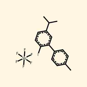 Cc1ccc(-c2cc(C(C)C)ccc2I)cc1.[F][Sb-]([F])([F])([F])([F])[F]